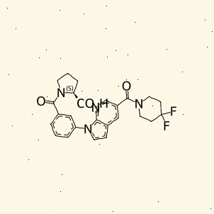 O=C(O)[C@@H]1CCCN1C(=O)c1cccc(-n2ccc3cc(C(=O)N4CCC(F)(F)CC4)cnc32)c1